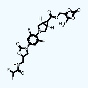 Cc1oc(=O)oc1COC(=O)C1[C@H]2CN(c3c(F)cc(N4CC(CNC(=O)C(F)F)OC4=O)cc3F)C[C@@H]12